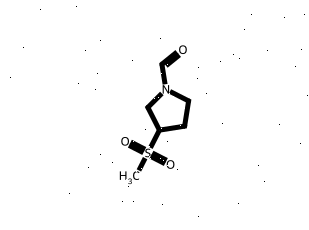 CS(=O)(=O)C1CCN(C=O)C1